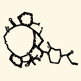 C=CC(=O)N1CCN(c2nc(=O)n3c4nc(c(F)cc24)-c2c(F)cccc2C(=O)NCCCc2ccnc(C(C)C)c2-3)[C@@H](C)C1